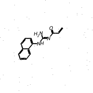 C=CC(=O)/N=C(\N)Nc1cccc2ccccc12